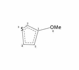 COc1[c]s[c]c1